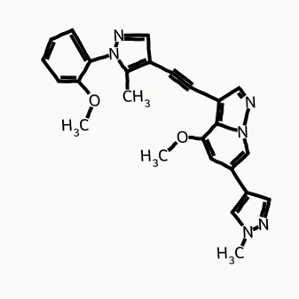 COc1ccccc1-n1ncc(C#Cc2cnn3cc(-c4cnn(C)c4)cc(OC)c23)c1C